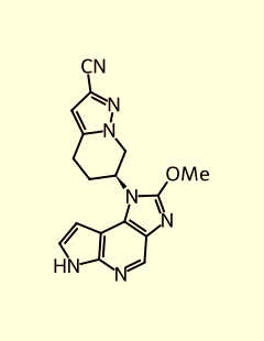 COc1nc2cnc3[nH]ccc3c2n1[C@H]1CCc2cc(C#N)nn2C1